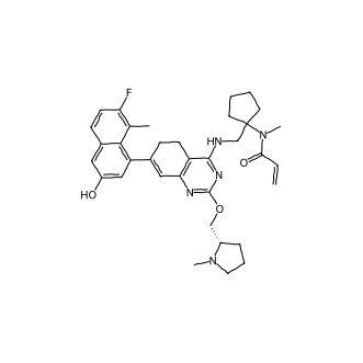 C=CC(=O)N(C)C1(CNc2nc(OC[C@@H]3CCCN3C)nc3c2CCC(c2cc(O)cc4ccc(F)c(C)c24)=C3)CCCC1